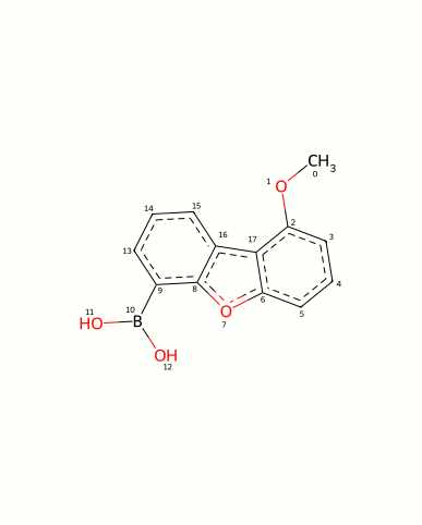 COc1cccc2oc3c(B(O)O)cccc3c12